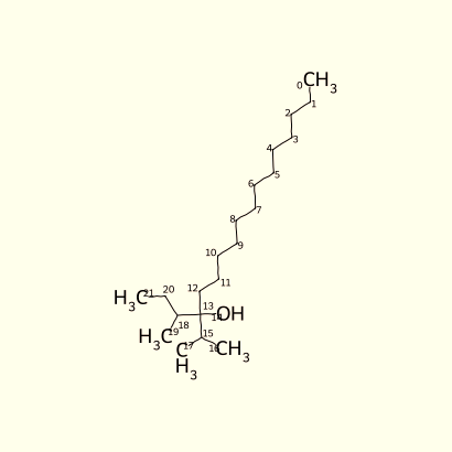 CCCCCCCCCCCCCC(O)(C(C)C)C(C)CC